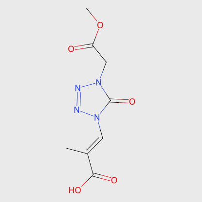 COC(=O)Cn1nnn(/C=C(\C)C(=O)O)c1=O